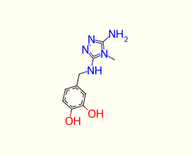 Cn1c(N)nnc1NCc1ccc(O)c(O)c1